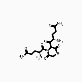 NC(=O)CC[C@H](N)C(=O)C1C(=O)NCC(=O)N1C(=O)[C@@H](N)CCC(N)=O